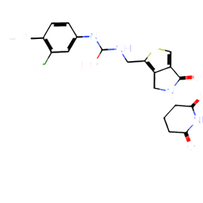 Cc1ccc(NC(O)NCc2scc3c2CN([C@H]2CCC(=O)NC2=O)C3=O)cc1Cl